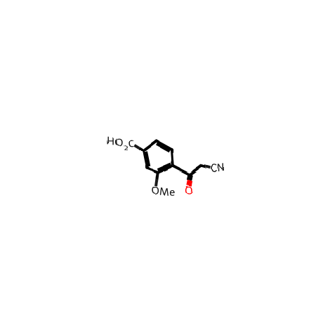 COc1cc(C(=O)O)ccc1C(=O)CC#N